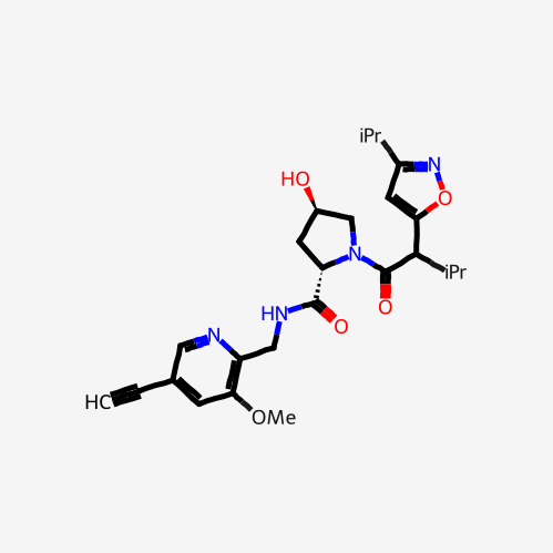 C#Cc1cnc(CNC(=O)[C@@H]2C[C@@H](O)CN2C(=O)C(c2cc(C(C)C)no2)C(C)C)c(OC)c1